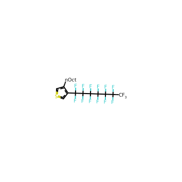 CCCCCCCCc1cscc1C(F)(F)C(F)(F)C(F)(F)C(F)(F)C(F)(F)C(F)(F)C(F)(F)F